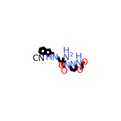 N#Cc1cccc2c1CC(CNCCC1(CN)CN(c3ccc4c(n3)NC(=O)CO4)C(=O)O1)C2